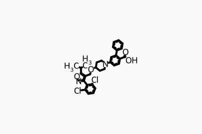 CC(C)c1onc(-c2c(Cl)cccc2Cl)c1COC1CCN(c2ccc(C(=O)O)c(-c3ccccc3)c2)CC1